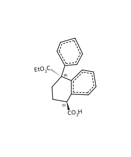 CCOC(=O)[C@@]1(c2ccccc2)CC[C@H](C(=O)O)c2ccccc21